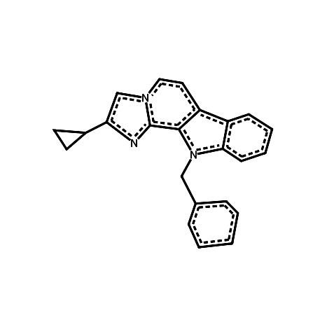 c1ccc(Cn2c3ccccc3c3ccn4cc(C5CC5)nc4c32)cc1